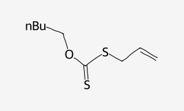 C=CCSC(=S)OCCCCC